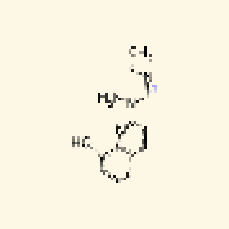 C=C/N=C\N(N)c1ccc2cccc(O)c2n1